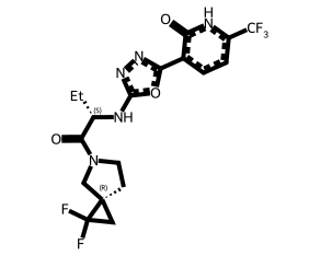 CC[C@H](Nc1nnc(-c2ccc(C(F)(F)F)[nH]c2=O)o1)C(=O)N1CC[C@]2(C1)CC2(F)F